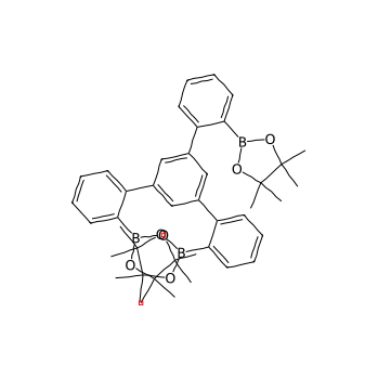 CC1(C)OB(c2ccccc2-c2cc(-c3ccccc3B3OC(C)(C)C(C)(C)O3)cc(-c3ccccc3B3OC(C)(C)C(C)(C)O3)c2)OC1(C)C